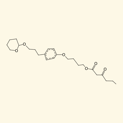 CCCC(=O)CC(=O)OCCCCOc1ccc(CCCOC2CCCCO2)cc1